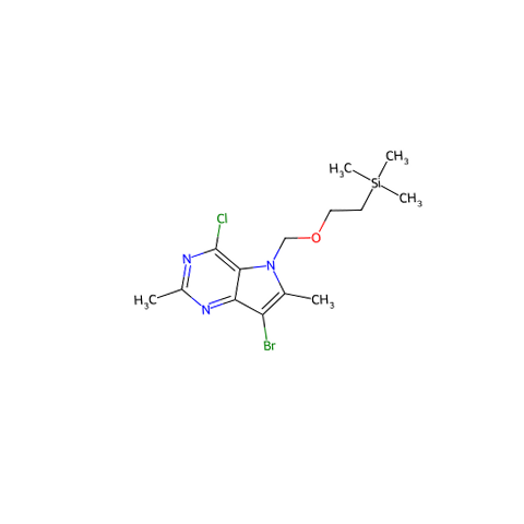 Cc1nc(Cl)c2c(n1)c(Br)c(C)n2COCC[Si](C)(C)C